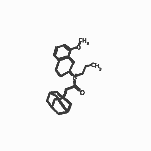 CCCN(C(=O)CC12CC3CC(CC(C3)C1)C2)C1CCc2cccc(OC)c2C1